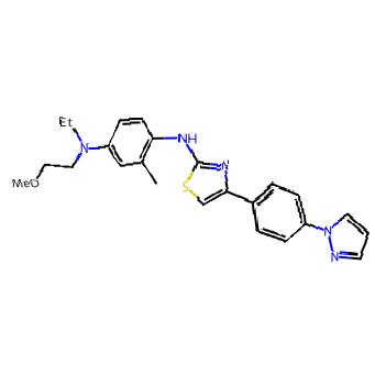 CCN(CCOC)c1ccc(Nc2nc(-c3ccc(-n4cccn4)cc3)cs2)c(C)c1